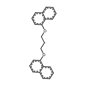 [CH](COc1cccc2ccccc12)COc1cccc2ccccc12